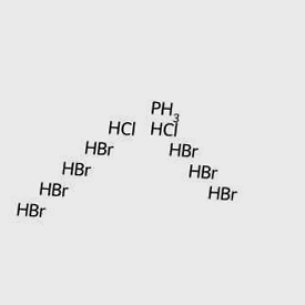 Br.Br.Br.Br.Br.Br.Br.Cl.Cl.P